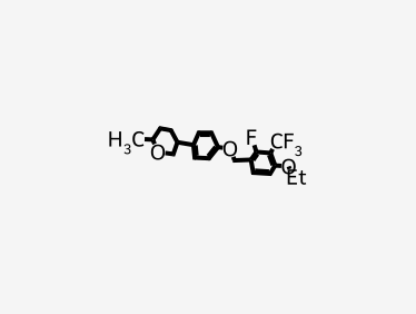 CCOc1ccc(COc2ccc(C3CCC(C)OC3)cc2)c(F)c1C(F)(F)F